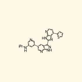 CC(C)Nc1cncc(-c2cnc3[nH]nc(-c4nc5c(-c6cccs6)ccnc5[nH]4)c3c2)c1